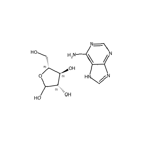 Nc1ncnc2nc[nH]c12.OC[C@H]1OC(O)[C@@H](O)[C@@H]1O